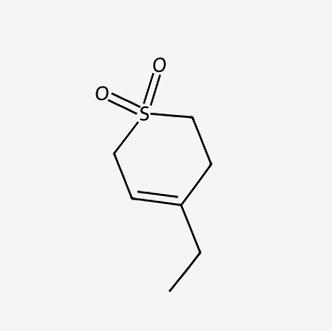 CCC1=CCS(=O)(=O)CC1